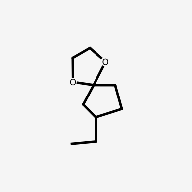 CCC1CCC2(C1)OCCO2